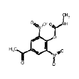 CNC(=O)Oc1c([N+](=O)[O-])cc(C(C)=O)cc1[N+](=O)[O-]